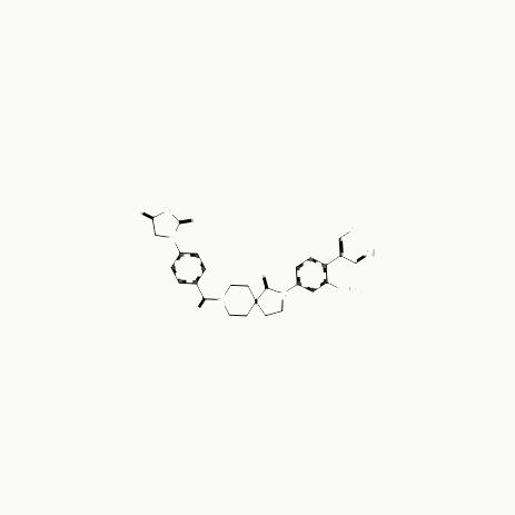 COc1cc(N2CCC3(CCN(C(=O)c4ccc(N5CC(=O)NC5=O)cc4)CC3)C2=O)ccc1/C(C=N)=C/N